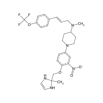 CN(CC=Cc1ccc(OC(F)(F)F)cc1)C1CCN(c2ccc(OCC3(C)NC=CN3)c([N+](=O)[O-])c2)CC1